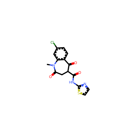 CN1C(=O)CC(C(=O)Nc2nccs2)C(=O)c2ccc(Cl)cc21